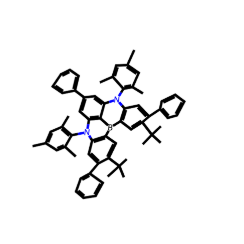 Cc1cc(C)c(N2c3cc(-c4ccccc4)c(C(C)(C)C)cc3B3c4cc(C(C)(C)C)c(-c5ccccc5)cc4N(c4c(C)cc(C)cc4C)c4cc(-c5ccccc5)cc2c43)c(C)c1